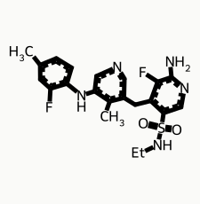 CCNS(=O)(=O)c1cnc(N)c(F)c1Cc1cncc(Nc2ccc(C)cc2F)c1C